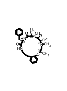 CCC[C@H]1C(=O)N(C)[C@H](C)C(=O)N[C@H](Cc2ccccc2)C(=O)NCCCc2ccccc2O[C@H](C)CN1C